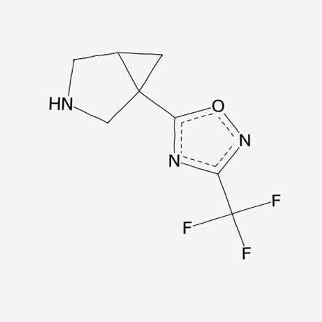 FC(F)(F)c1noc(C23CNCC2C3)n1